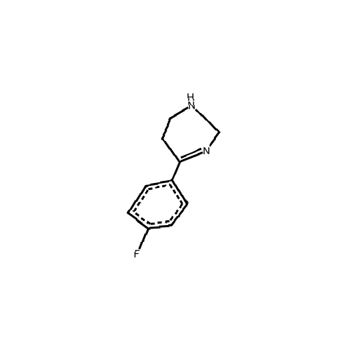 Fc1ccc(C2=NCNCC2)cc1